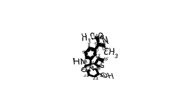 Cc1noc(C)c1-c1ccc2c(c1)[C@](c1ccsc1)(N1CCC[C@@H](O)C1)C(=O)N2